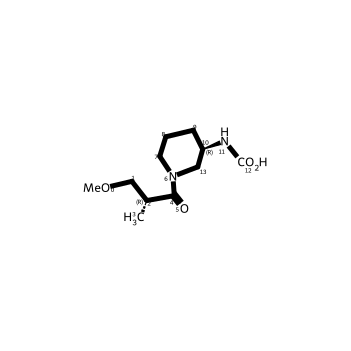 COC[C@@H](C)C(=O)N1CCC[C@@H](NC(=O)O)C1